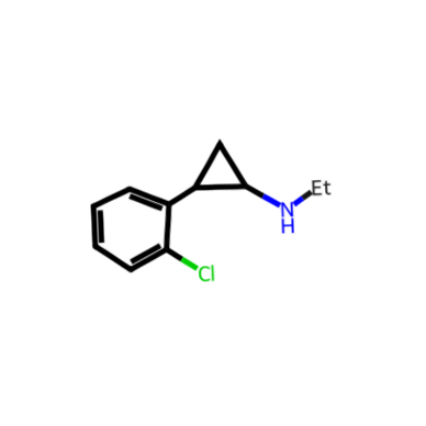 CCNC1CC1c1ccccc1Cl